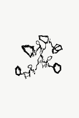 CN(CCCC[C@H](CNC(=O)Nc1ccccc1)N(C[C@H]1CCCN1CCC12CC3CC(CC(C3)C1)C2)C(=O)Nc1ccccc1)C(=O)Nc1ccccc1